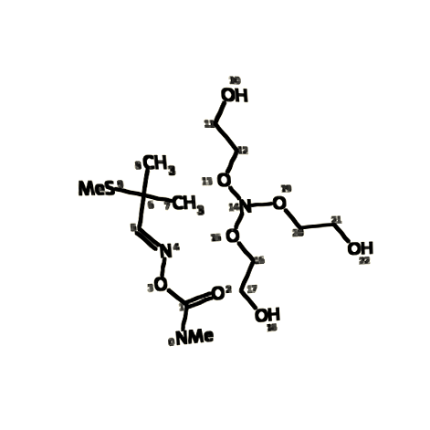 CNC(=O)ON=CC(C)(C)SC.OCCON(OCCO)OCCO